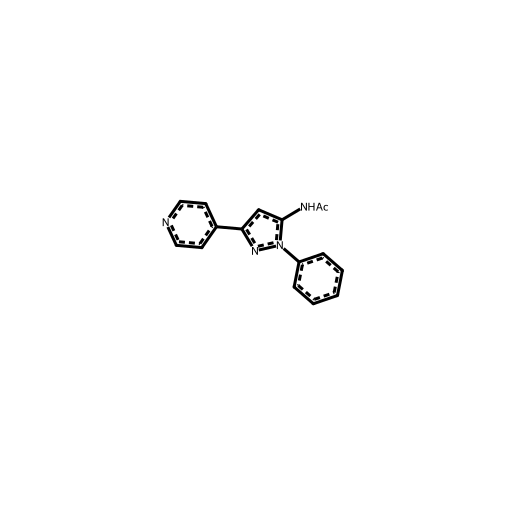 CC(=O)Nc1cc(-c2ccncc2)nn1-c1ccccc1